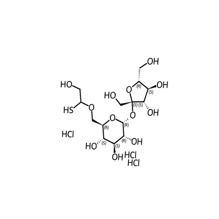 Cl.Cl.Cl.OCC(S)OC[C@H]1O[C@H](O[C@]2(CO)O[C@H](CO)[C@@H](O)[C@@H]2O)[C@H](O)[C@@H](O)[C@@H]1O